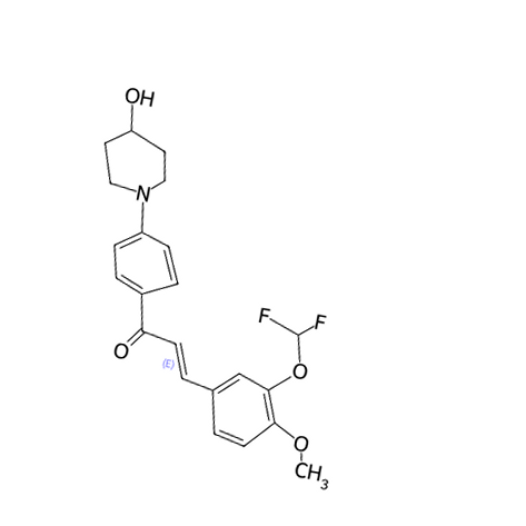 COc1ccc(/C=C/C(=O)c2ccc(N3CCC(O)CC3)cc2)cc1OC(F)F